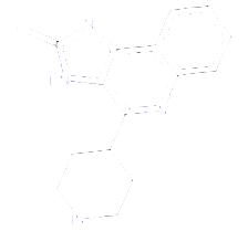 O=c1[nH]c2c(C3CCNCC3)nc3ccccc3c2[nH]1